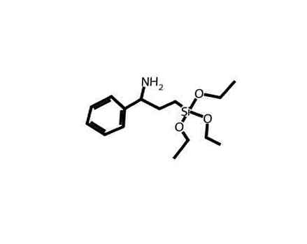 CCO[Si](CCC(N)c1ccccc1)(OCC)OCC